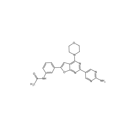 CC(=O)Nc1cccc(-c2cc3c(N4CCOCC4)nc(-c4cnc(N)nc4)nc3o2)c1